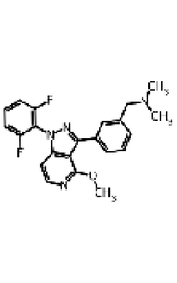 COc1nccc2c1c(-c1cccc(CN(C)C)c1)nn2-c1c(F)cccc1F